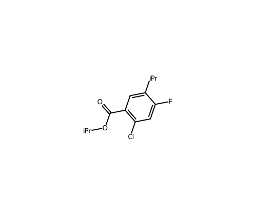 CC(C)OC(=O)c1cc(C(C)C)c(F)cc1Cl